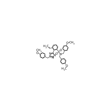 C=Cc1cccc(S(=O)(=O)N(Cc2ccc(OC)cc2)Cc2ccc(OC)cc2)c1-c1nnn(Cc2ccc(OC)cc2)n1